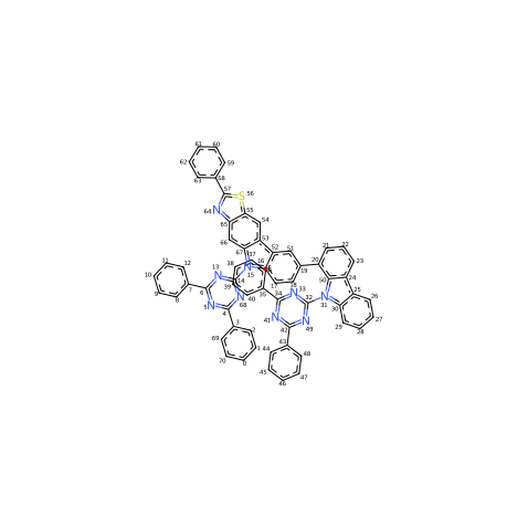 c1ccc(-c2nc(-c3ccccc3)nc(-n3c4ccc(-c5cccc6c7ccccc7n(-c7nc(-c8ccccc8)nc(-c8ccccc8)n7)c56)cc4c4cc5sc(-c6ccccc6)nc5cc43)n2)cc1